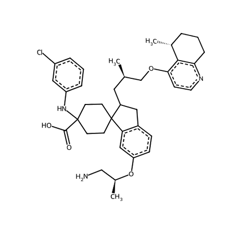 C[C@@H](COc1ccnc2c1[C@H](C)CCC2)CC1Cc2ccc(O[C@@H](C)CN)cc2C12CCC(Nc1cccc(Cl)c1)(C(=O)O)CC2